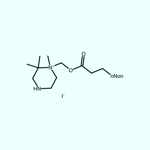 CCCCCCCCCCCC(=O)OC[N+]1(C)CCNCC1(C)C.[I-]